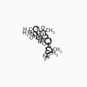 CC\C1=C/C(C2=C/C=C\C(CCC(C)C(=O)[C@H](C)N3C=CCC(C)c4c3c(=O)n(Cc3nc(C)no3)c(=O)n4C)=C(\C)CC\2)=C\C(C)C/C=C(\C(F)(F)F)C1